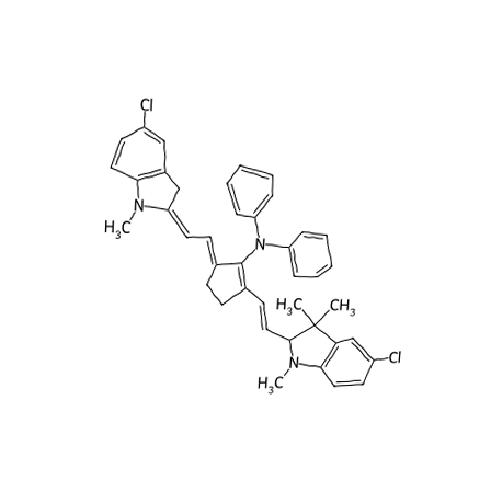 CN1/C(=C/C=C2\CCC(/C=C/C3N(C)c4ccc(Cl)cc4C3(C)C)=C2N(c2ccccc2)c2ccccc2)Cc2cc(Cl)ccc21